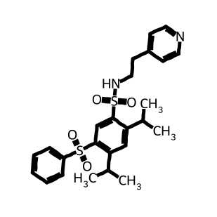 CC(C)c1cc(C(C)C)c(S(=O)(=O)c2ccccc2)cc1S(=O)(=O)NCCc1ccncc1